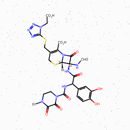 CCN1CCN(C(=O)NC(C(=O)N[C@]2(NC=O)C(=O)N3C(C(=O)O)=C(CSc4nnnn4CC(=O)O)CS[C@H]32)c2ccc(O)c(O)c2)C(=O)C1=O